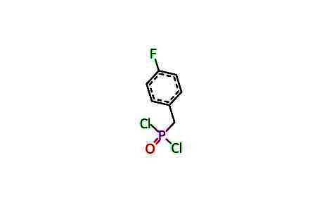 O=P(Cl)(Cl)Cc1ccc(F)cc1